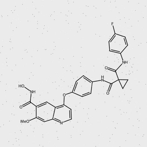 COc1cc2nccc(Oc3ccc(NC(=O)C4(C(=O)Nc5ccc(F)cc5)CC4)cc3)c2cc1C(=O)NO